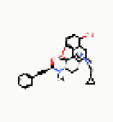 CN(C(=O)C#Cc1ccccc1)[C@@H]1CC[C@H]2[C@H]3Cc4c(O)ccc5c4[C@@]2(CCN3CC2CC2)[C@H]1O5